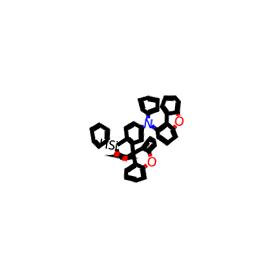 c1ccc(N(c2ccc3c(c2)C2(c4ccccc4Oc4ccccc42)c2ccccc2[SiH]3c2ccccc2)c2cccc3oc4ccccc4c23)cc1